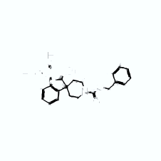 C[SiH](C)OC(C(C)(C)C)C1(c2ccccc2)CCN(C(=O)OCc2ccccc2)CC1